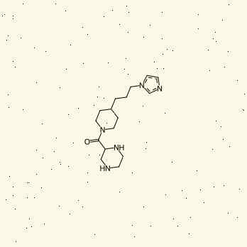 O=C(C1CNCCN1)N1CCC(CCCn2ccnc2)CC1